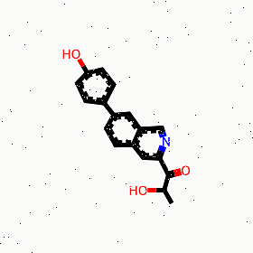 CC(O)C(=O)c1cc2ccc(-c3ccc(O)cc3)cc2cn1